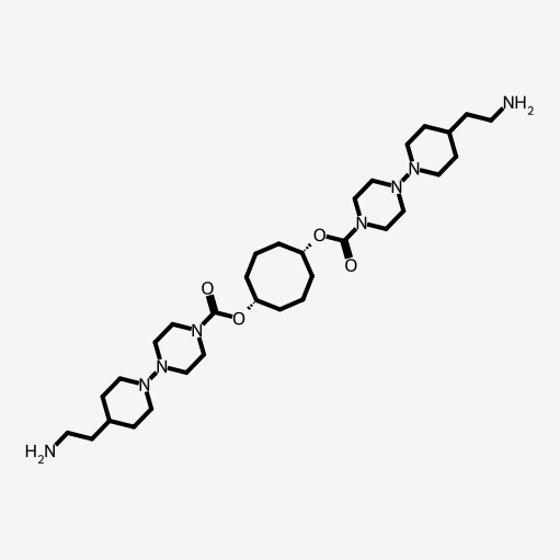 NCCC1CCN(N2CCN(C(=O)O[C@H]3CCC[C@@H](OC(=O)N4CCN(N5CCC(CCN)CC5)CC4)CCC3)CC2)CC1